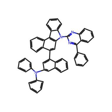 c1ccc(-c2nc(-n3c4ccccc4c4c5ccccc5c(-c5cc(N(c6ccccc6)c6ccccc6)cc6ccccc56)cc43)nc3ccccc23)cc1